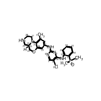 Cc1cc(Nc2ncc(Cl)c(Nc3ccccc3P(C)(C)=O)n2)cc2c1N1CCNC[C@H]1CO2